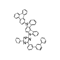 c1ccc(-c2cccc(-c3cccc(-c4nc(-c5ccccc5)nc(-n5c6ccccc6c6c7c8ccccc8n(-c8ccc9c%10ccccc%10c%10ccccc%10c9c8)c7ccc65)n4)c3)c2)cc1